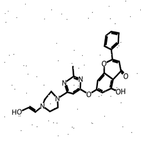 Cc1nc(Oc2cc(O)c3c(=O)cc(-c4ccccc4)oc3c2)cc(N2CCN(C=CO)CC2)n1